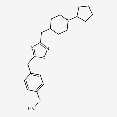 COc1ccc(Cc2nc(CC3CCN(C4CCCC4)CC3)no2)cc1